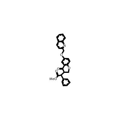 COC(=O)C(c1ccccc1)C1COc2ccc(OCc3ccc4ccccc4n3)cc2C1=O